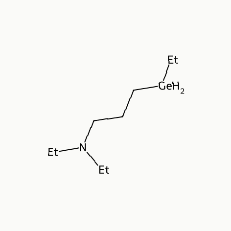 C[CH2][GeH2][CH2]CCN(CC)CC